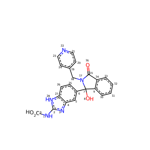 O=C(O)Nc1nc2cc(C3(O)c4ccccc4C(=O)N3Cc3ccncc3)ccc2[nH]1